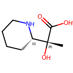 C[C@](O)(C(=O)O)[C@@H]1CCCCN1